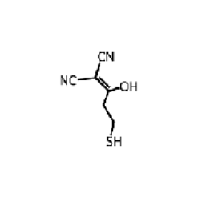 N#CC(C#N)=C(O)CCS